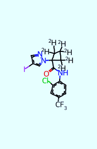 [2H]C1([2H])C([2H])([2H])C(C(=O)Nc2ccc(C(F)(F)F)cc2Cl)(n2cc(I)cn2)C1([2H])[2H]